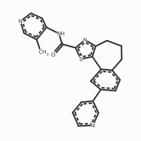 Cc1cnccc1NC(=O)c1nc2c(s1)-c1cc(-c3cccnc3)ccc1CCC2